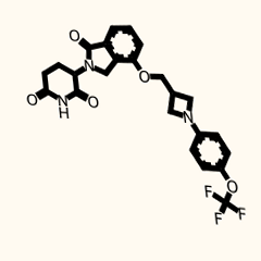 O=C1CCC(N2Cc3c(OCC4CN(c5ccc(OC(F)(F)F)cc5)C4)cccc3C2=O)C(=O)N1